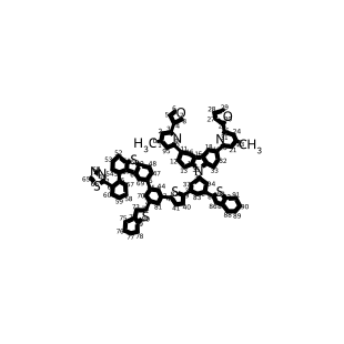 Cc1cc(-c2ccoc2)nc(-c2ccc3c(c2)c2cc(-c4cc(C)cc(-c5ccco5)n4)ccc2n3-c2cc(-c3ccc(-c4cc(-c5ccc6sc7cccc(-c8ccccc8-c8nncs8)c7c6c5)cc(-c5cc6ccccc6s5)c4)s3)cc(-c3cc4ccccc4s3)c2)c1